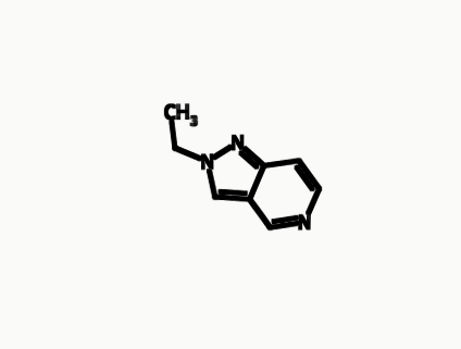 CCn1cc2cnccc2n1